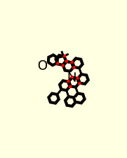 COc1ccc2c(c1)-c1cc(N(c3ccc(-c4ccccc4)c(-c4cccc5cccc(-c6ccccc6)c45)c3)c3ccccc3-c3cccc(-c4ccccc4)c3)ccc1C2(C)C